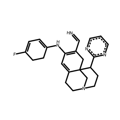 N=CC1=C(NC2=CC=C(F)CC2)C=C2CCN3CCC(c4ncccn4)C2(C1)C3